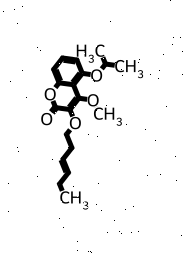 CC/C=C/CCOc1c(OC)c2c(OC(C)C)cccc2oc1=O